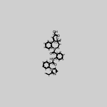 CCc1nccn1-c1ccccc1C(=O)Nc1ccccc1C(=O)N1CCC(F)(F)C(=CC(=O)O)c2ccccc21